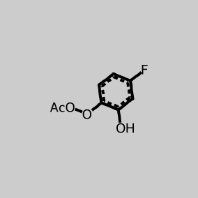 CC(=O)OOc1ccc(F)cc1O